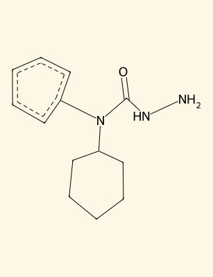 NNC(=O)N(c1ccccc1)C1CCCCC1